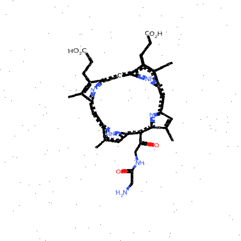 CC1=Cc2cc3[nH]c(cc4nc(cc5[nH]c(cc5C)c(C(=O)CNC(=O)CN)c1n2)C(C)=C4CCC(=O)O)c(CCC(=O)O)c3C